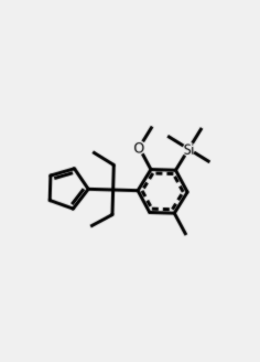 CCC(CC)(C1=CCC=C1)c1cc(C)cc([Si](C)(C)C)c1OC